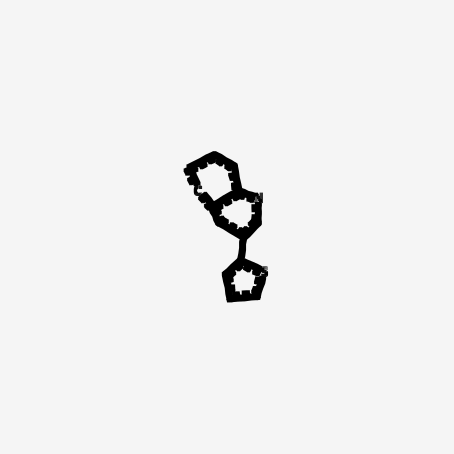 c1csc(-c2cnc3ccccc3c2)c1